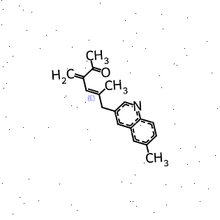 C=C(/C=C(\C)Cc1cnc2ccc(C)cc2c1)C(C)=O